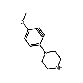 COc1c#cc(N2CCNCC2)cc1